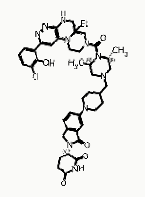 CCC12CNc3nnc(-c4cccc(Cl)c4O)cc3N1CCN(C(=O)N1[C@H](C)CN(CC3CCN(c4ccc5c(c4)C(=O)N([C@H]4CCC(=O)NC4=O)C5)CC3)C[C@H]1C)C2